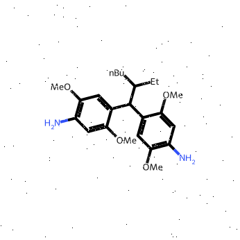 CCCCC(CC)C(c1cc(OC)c(N)cc1OC)c1cc(OC)c(N)cc1OC